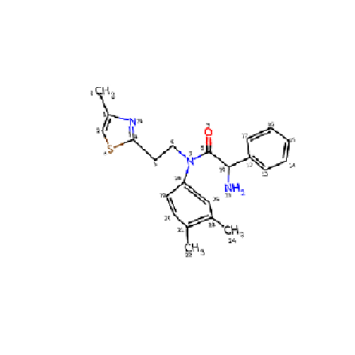 Cc1csc(CCN(C(=O)C(N)c2ccccc2)c2ccc(C)c(C)c2)n1